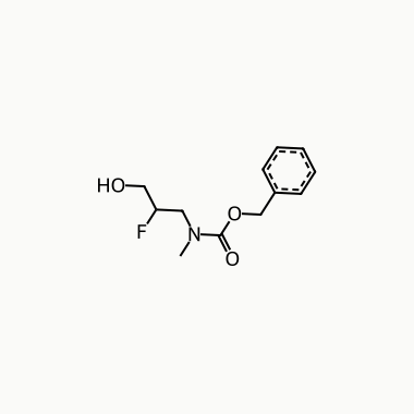 CN(CC(F)CO)C(=O)OCc1ccccc1